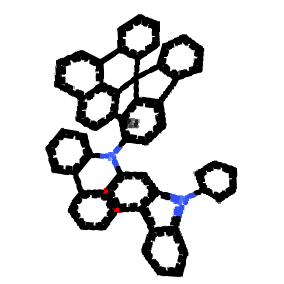 CCc1ccc2cccc3c2c1C1(c2ccccc2-c2ccc(N(c4ccc5c6ccccc6n(-c6ccccc6)c5c4)c4ccccc4-c4ccccc4)cc21)c1ccccc1-3